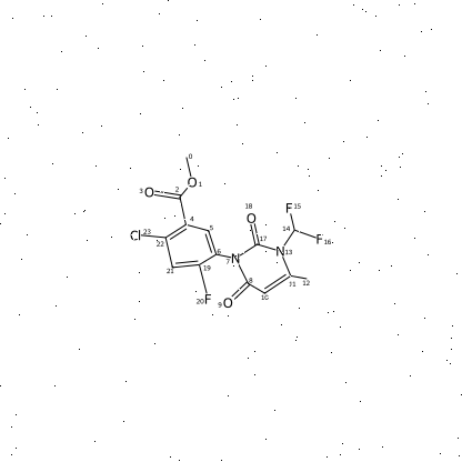 COC(=O)c1cc(-n2c(=O)cc(C)n(C(F)F)c2=O)c(F)cc1Cl